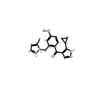 CSc1ccc(C(=O)c2cnoc2C2CC2)c(Cn2nccc2C)c1